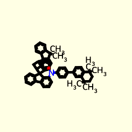 CC1(C)CCC(C)(C)c2cc(-c3ccc(N(c4ccc5c(c4)C(C)(C)c4ccccc4-5)c4cccc5c4C4(c6ccccc6-5)C5CC6CC7CC4C75C6)cc3)ccc21